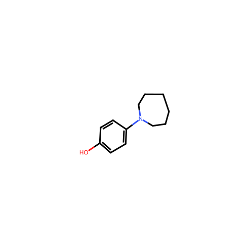 Oc1ccc(N2CCCCCC2)cc1